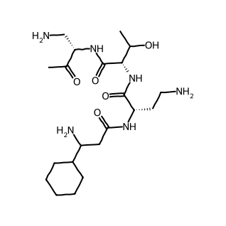 CC(=O)[C@H](CN)NC(=O)[C@@H](NC(=O)[C@H](CCN)NC(=O)CC(N)C1CCCCC1)C(C)O